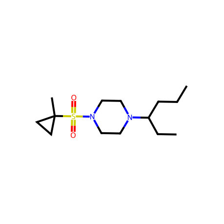 CCCC(CC)N1CCN(S(=O)(=O)C2(C)CC2)CC1